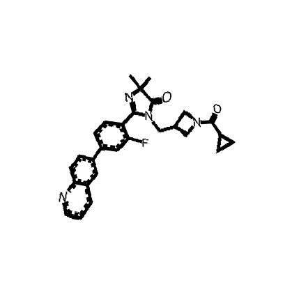 CC1(C)N=C(c2ccc(-c3ccc4ncccc4c3)cc2F)N(CC2CN(C(=O)C3CC3)C2)C1=O